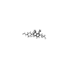 CCCC1CCC(C(=O)Oc2ccc(COCC)c(C#N)c2C#N)CC1